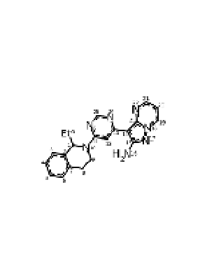 CCC1c2ccccc2CCN1c1cc(-c2c(N)nn3cccnc23)ncn1